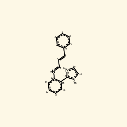 C(=Cc1ccccc1)C=Nc1ccccc1-c1nccs1